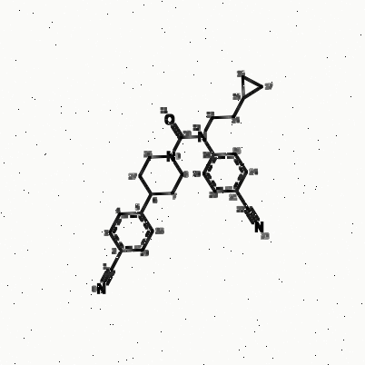 N#Cc1ccc(C2CCN(C(=O)N(CCC3CC3)c3ccc(C#N)cc3)CC2)cc1